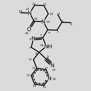 CC(C)CC(C1=NCC(C#N)(Cc2cccnc2)N1)N1CCCN(C)C1=O